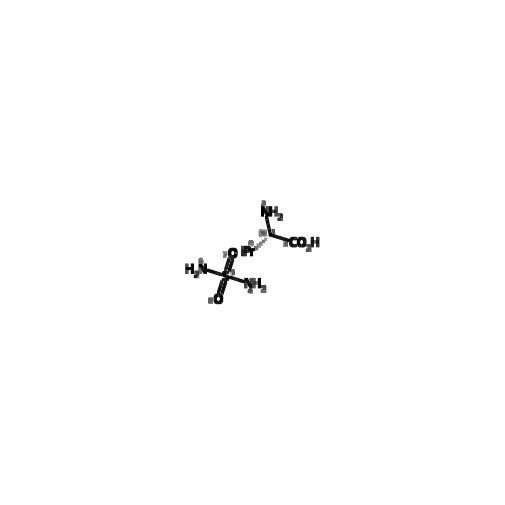 CC(C)[C@H](N)C(=O)O.NS(N)(=O)=O